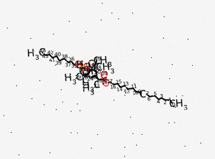 CCCCCCCCCCCCCCCCCCOC(=O)C(C)c1cc(C(C)(C)C)c(OP(F)OCCCCCCCCCC)c(C(C)(C)C)c1